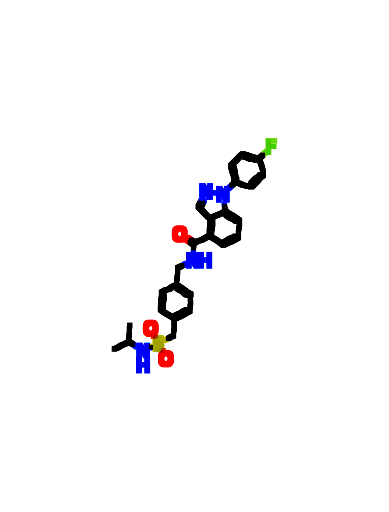 CC(C)NS(=O)(=O)Cc1ccc(CNC(=O)c2cccc3c2cnn3-c2ccc(F)cc2)cc1